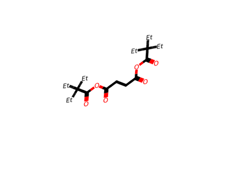 CCC(CC)(CC)C(=O)OC(=O)CCC(=O)OC(=O)C(CC)(CC)CC